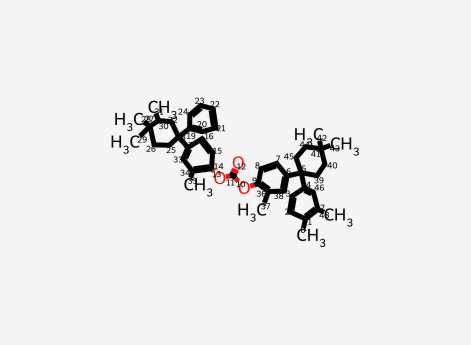 Cc1ccc(C2(c3ccc(OC(=O)Oc4ccc(C5(c6ccccc6)CCC(C)(C)C(C)C5)cc4C)c(C)c3)CCC(C)(C)CC2)cc1C